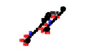 O=C(O)c1ccc2ccccc2c1O.OCc1cc(C(O)CNCCCCCCOCCCCc2ccccc2)ccc1O.OCc1cc(C(O)CNCCCCCCOCCCCc2ccccc2)ccc1O